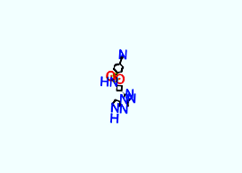 N#Cc1ccc(S(=O)(=O)N[C@H]2C[C@@H](c3nnc4cnc5[nH]ccc5n43)C2)cc1